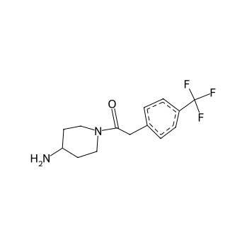 NC1CCN(C(=O)Cc2ccc(C(F)(F)F)cc2)CC1